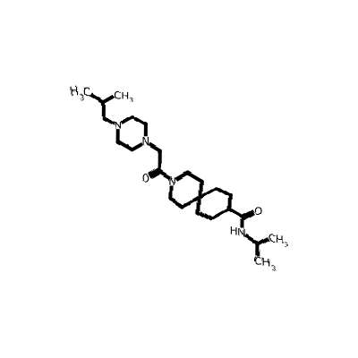 CC(C)CN1CCN(CC(=O)N2CCC3(CCC(C(=O)NC(C)C)CC3)CC2)CC1